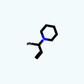 C=CC(CCC)N1CCCCC1